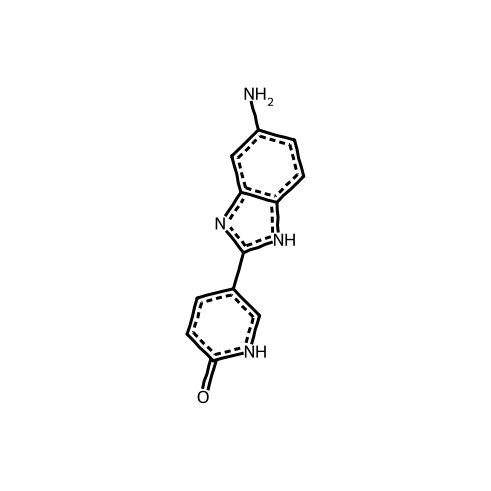 Nc1ccc2[nH]c(-c3ccc(=O)[nH]c3)nc2c1